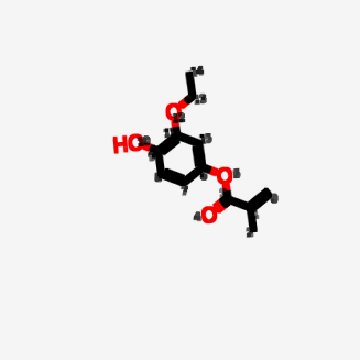 C=C(C)C(=O)Oc1ccc(O)c(OCC)c1